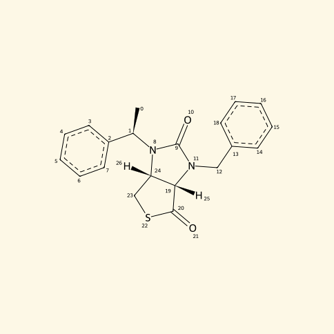 C[C@H](c1ccccc1)N1C(=O)N(Cc2ccccc2)[C@@H]2C(=O)SC[C@@H]21